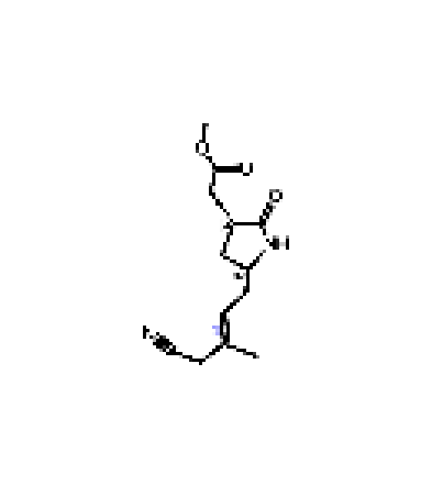 COC(=O)C[C@@H]1C[C@H](C/C=C(\C)CC#N)NC1=O